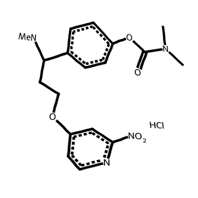 CNC(CCOc1ccnc([N+](=O)[O-])c1)c1ccc(OC(=O)N(C)C)cc1.Cl